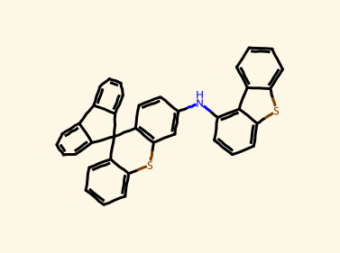 c1ccc2c(c1)Sc1cc(Nc3cccc4sc5ccccc5c34)ccc1C21c2ccccc2-c2ccccc21